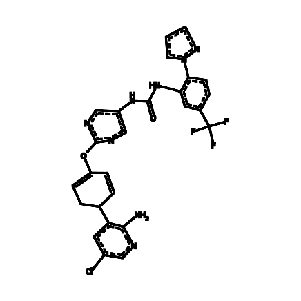 Nc1ncc(Cl)cc1C1C=CC(Oc2ncc(NC(=O)Nc3cc(C(F)(F)F)ccc3-n3cccn3)cn2)=CC1